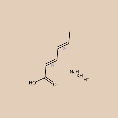 C/C=C/C=C/C(=O)O.[H+].[KH].[NaH]